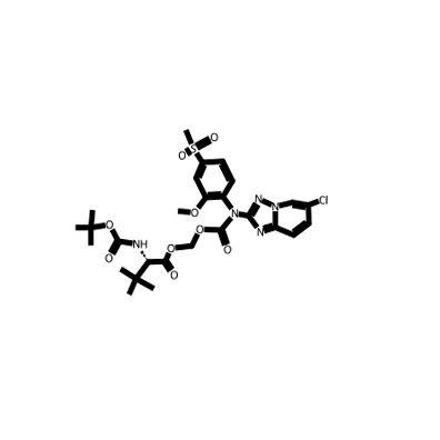 COc1cc(S(C)(=O)=O)ccc1N(C(=O)OCOC(=O)[C@@H](NC(=O)OC(C)(C)C)C(C)(C)C)c1nc2ccc(Cl)cn2n1